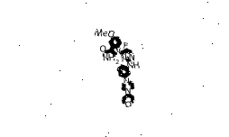 COc1ccc2c(c1)c(C(N)=O)cn2-c1nc(Nc2cccc(N3CCN(C4CCOCC4)CC3)c2)ncc1F